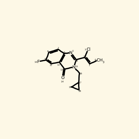 C/C=C(\Cl)c1nc2ccc(F)cc2c(=O)n1CC1CC1